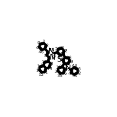 c1ccc(-c2cc(-c3ccc4ccccc4c3)nc(-c3cccc4c3sc3c4ccc4c3c3ccccc3n4-c3ccccc3)n2)cc1